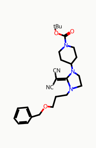 CC(C)(C)OC(=O)N1CCC(N2CCN(CCCOCc3ccccc3)C2=C(C#N)C#N)CC1